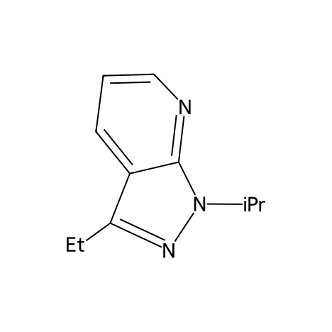 CCc1nn(C(C)C)c2ncccc12